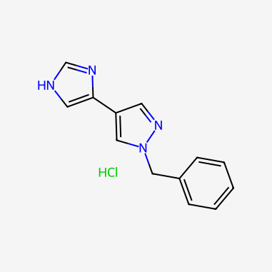 Cl.c1ccc(Cn2cc(-c3c[nH]cn3)cn2)cc1